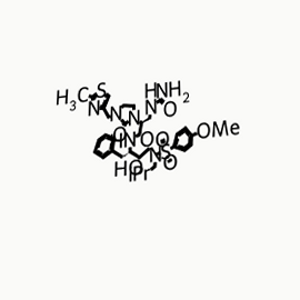 COc1ccc(S(=O)(=O)N(CC(C)C)C[C@H](O)[C@H](Cc2ccccc2)NC(=O)[C@H](CNC(N)=O)N2CCN(Cc3csc(C)n3)C2=O)cc1